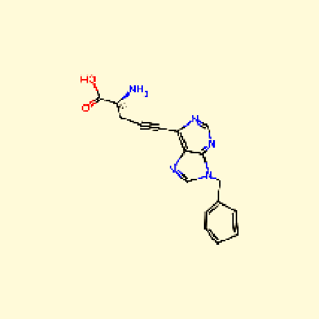 N[C@@H](CC#Cc1ncnc2c1ncn2Cc1ccccc1)C(=O)O